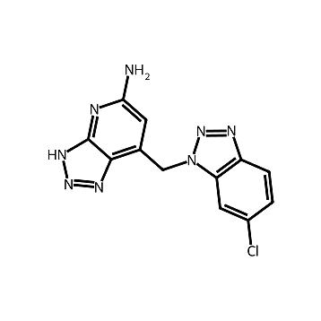 Nc1cc(Cn2nnc3ccc(Cl)cc32)c2nn[nH]c2n1